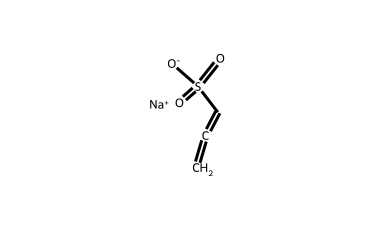 C=C=CS(=O)(=O)[O-].[Na+]